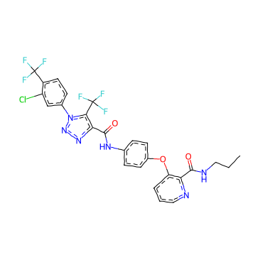 CCCNC(=O)c1ncccc1Oc1ccc(NC(=O)c2nnn(-c3ccc(C(F)(F)F)c(Cl)c3)c2C(F)(F)F)cc1